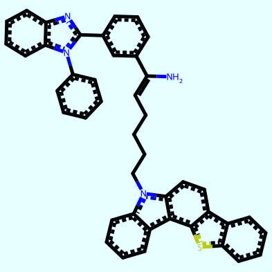 N/C(=C\CCCCn1c2ccccc2c2c3sc4ccccc4c3ccc21)c1cccc(-c2nc3ccccc3n2-c2ccccc2)c1